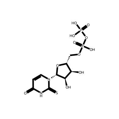 O=c1ccn([C@@H]2O[C@H](COP(=O)(O)OP(=O)(O)O)[C@@H](O)[C@H]2O)c(=S)[nH]1